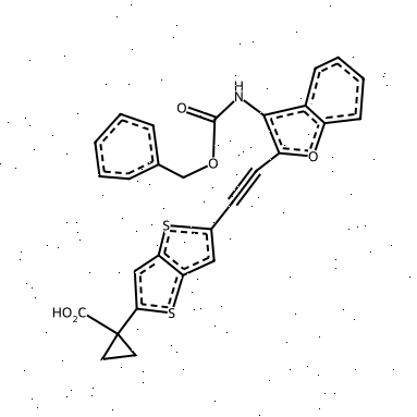 O=C(Nc1c(C#Cc2cc3sc(C4(C(=O)O)CC4)cc3s2)oc2ccccc12)OCc1ccccc1